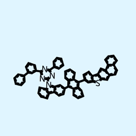 c1ccc(-c2cccc(-c3nc(-c4ccccc4)nc(-n4c5ccccc5c5ccc(-c6c7ccccc7c(-c7ccc8c(c7)sc7cc9ccc%10ccccc%10c9cc78)c7ccccc67)cc54)n3)c2)cc1